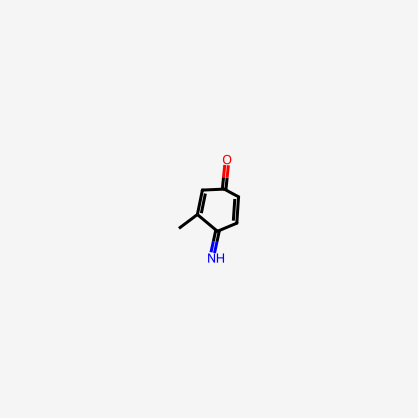 CC1=CC(=O)C=CC1=N